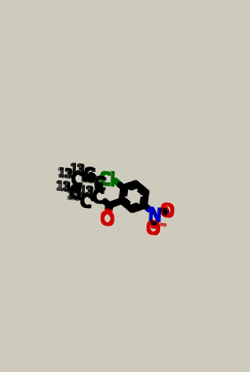 O=C(c1cc([N+](=O)[O-])ccc1Cl)[13c]1[13cH][13cH][13cH][13cH][13cH]1